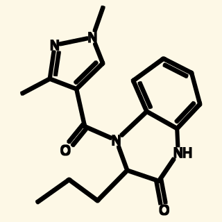 CCCC1C(=O)Nc2ccccc2N1C(=O)c1cn(C)nc1C